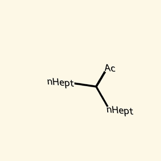 CCCCCCCC(CCCCCCC)C(C)=O